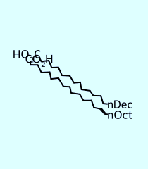 CCCCCCCCC=CCCCCCCCCCCCCCC(=O)O.CCCCCCCCCCCCCCCCCCCCCCCC(=O)O